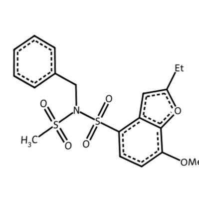 CCc1cc2c(S(=O)(=O)N(Cc3ccccc3)S(C)(=O)=O)ccc(OC)c2o1